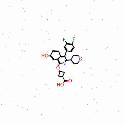 O=C(O)[C@H]1C[C@H](Oc2nc(C3CCOCC3)c(-c3ccc(F)c(F)c3)c3ccc(O)cc23)C1